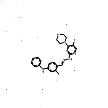 Cc1cc(Nc2ccccc2)ccc1/C=N/Nc1ncc(F)c(N2CCOCC2)n1